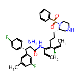 C=C/C(NC(=O)[C@@H](N)[C@@H](c1ccc(F)cc1)c1cc(C)cc(F)c1)=C(CCC[C@H]1CNCCN1S(=O)(=O)c1ccccc1)\C(F)=C/C